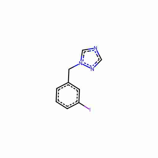 Ic1cccc(Cn2cncn2)c1